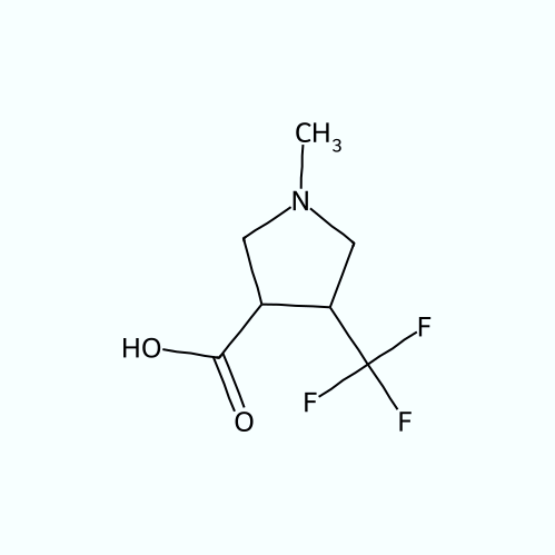 CN1CC(C(=O)O)C(C(F)(F)F)C1